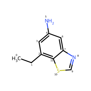 CCc1cc(N)cc2ncsc12